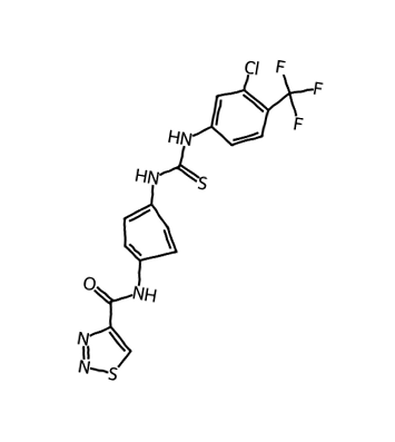 O=C(Nc1ccc(NC(=S)Nc2ccc(C(F)(F)F)c(Cl)c2)cc1)c1csnn1